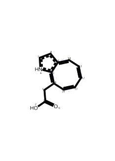 O=C(O)CC1=c2\[nH]cc\c2=C\C=C/C=C\1